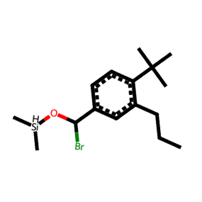 CCCc1cc(C(Br)O[SiH](C)C)ccc1C(C)(C)C